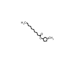 CCCCCCCCCC(=O)OC1C[CH]N(C)C1